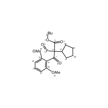 CCC(C)OC(=O)C(P=O)(C(=O)c1c(OC)cccc1OC)C1CCCC1